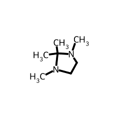 CN1CCN(C)C1(C)C